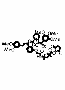 CC[C@H](C(=O)N1CCCC[C@H]1C(=O)O[C@H](CCc1ccc(OC)c(OC)c1)c1cccc(OCC(=O)NC(C)(C)CC(C)(C)C(=O)ON2C(=O)CCC2=O)c1)c1cc(OC)c(OC)c(OC)c1